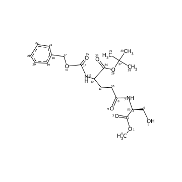 COC(=O)[C@H](CO)NC(=O)CCC(NC(=O)OCc1ccccc1)C(=O)OC(C)(C)C